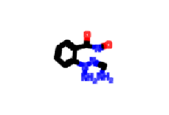 N/C=N\N(N)c1ccccc1C(=O)N=O